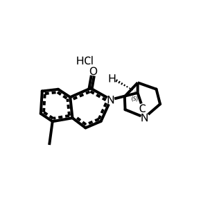 Cc1cccc2c(=O)n([C@@H]3CN4CCC3CC4)ccc12.Cl